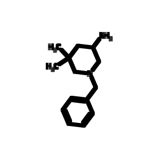 CC1(C)CC(N)CN(Cc2ccccc2)C1